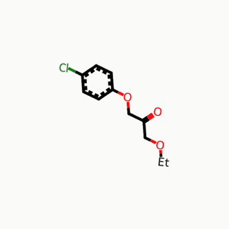 CCOCC(=O)COc1ccc(Cl)cc1